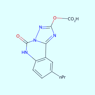 CCCc1ccc2[nH]c(=O)n3nc(OC(=O)O)nc3c2c1